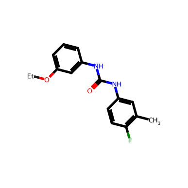 CCOc1cccc(NC(=O)Nc2ccc(F)c(C)c2)c1